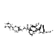 CCc1nc2c(NCCCN3CCN(c4cccc(C)c4C)CC3)ncnc2n1-c1ccc(OC)cc1